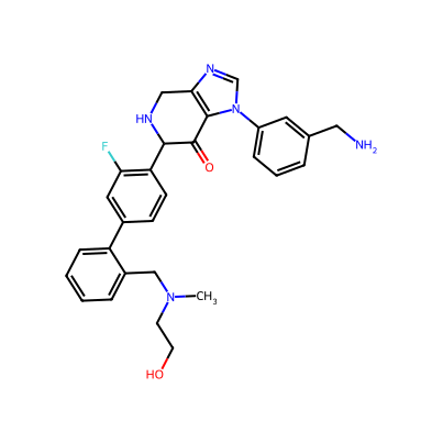 CN(CCO)Cc1ccccc1-c1ccc(C2NCc3ncn(-c4cccc(CN)c4)c3C2=O)c(F)c1